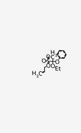 C=CCOS(=O)(=O)C(C)(OCC)Oc1ccccc1